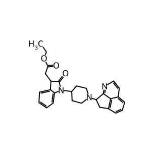 CCOC(=O)CC1C(=O)N(C2CCN(C3Cc4cccc5ccnc3c45)CC2)c2ccccc21